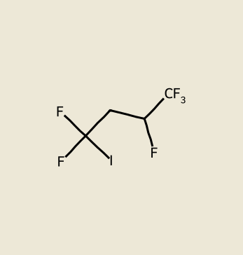 FC(CC(F)(F)I)C(F)(F)F